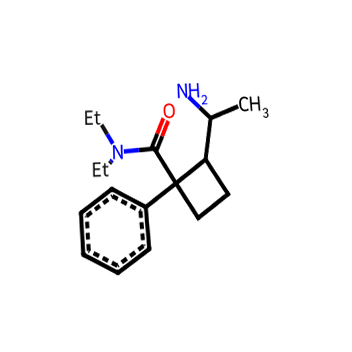 CCN(CC)C(=O)C1(c2ccccc2)CCC1C(C)N